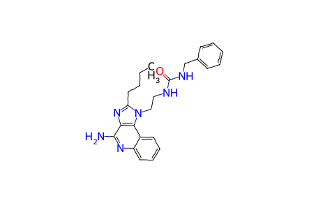 CCCCc1nc2c(N)nc3ccccc3c2n1CCNC(=O)NCc1ccccc1